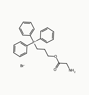 NCC(=O)OCCC[P+](c1ccccc1)(c1ccccc1)c1ccccc1.[Br-]